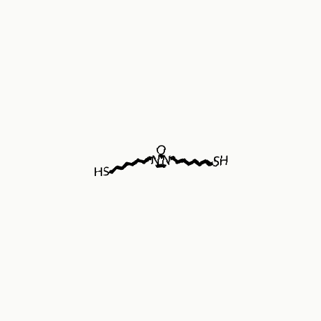 O=C1N(CCCCCCCCS)CCN1CCCCCCCCS